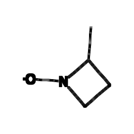 CC1CCN1[O]